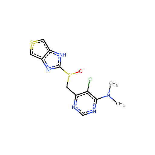 CN(C)c1ncnc(C[S+]([O-])c2nc3cscc3[nH]2)c1Cl